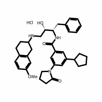 COc1ccc2c(c1)CC(NC[C@H](O)[C@H](Cc1ccccc1)NC(=O)c1cc(C3CCCC3)cc(N3CCCC3=O)c1)CC2.Cl